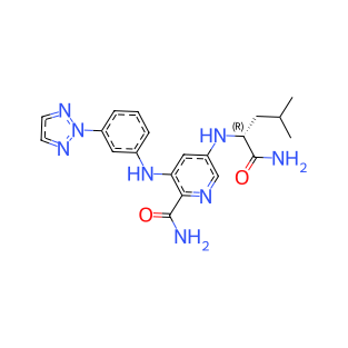 CC(C)C[C@@H](Nc1cnc(C(N)=O)c(Nc2cccc(-n3nccn3)c2)c1)C(N)=O